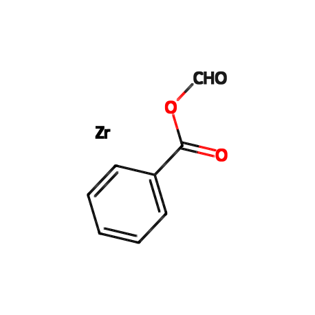 O=COC(=O)c1ccccc1.[Zr]